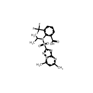 Cc1cc(C)n2nc(S(=O)(=O)N(c3c(C(=O)O)cccc3C(F)(F)F)C(C)C)nc2n1